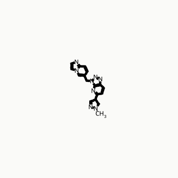 CN1CC(c2ccc3nnn(Cc4ccc5nccn5c4)c3n2)C=N1